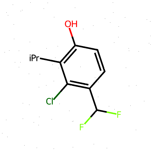 CC(C)c1c(O)ccc(C(F)F)c1Cl